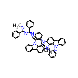 C=N\C(=N/C(=N\C=C(/C=C\C=C\C)n1c2ccccc2c2ccc3c(c21)N(c1ccccc1)c1ccc2c([nH]c4ccccc42)c1N3c1ccccc1)c1ccccc1)c1ccccc1